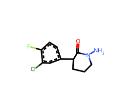 NN1CCCC(c2ccc(F)c(Cl)c2)C1=O